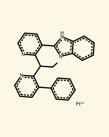 CCC(c1ncccc1-c1ccccc1)c1ncccc1-c1nc2ccccc2[nH]1.[Pt+2]